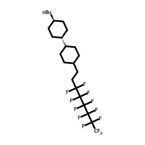 CCCC[C@H]1CC[C@H](C2CCC(CCC(F)(F)C(F)(F)C(F)(F)C(F)(F)C(F)(F)C(F)(F)F)CC2)CC1